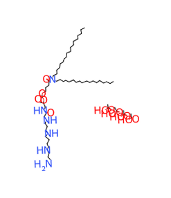 CC(=O)O.CC(=O)O.CC(=O)O.CC(=O)O.CCCCCCCCCCCCCCCCCCN(CCCCCCCCCCCCCCCCCC)C(=O)CCCOC1OCC(CNC(=O)CNCCCNCCCCNCCCN)O1